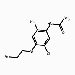 NC(=O)Nc1cc(Cl)c(NCCO)cc1O